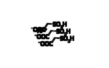 O=C([O-])CS(=O)(=O)O.O=C([O-])CS(=O)(=O)O.O=C([O-])CS(=O)(=O)O.[Al+3]